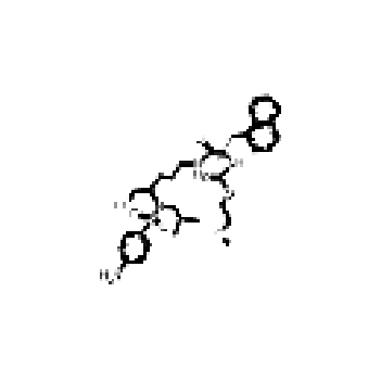 COCCOC(=O)N[C@@H](Cc1cccc2ccccc12)C(=O)NCCCC(CO)N(CC(C)C)S(=O)(=O)c1ccc(N)cc1